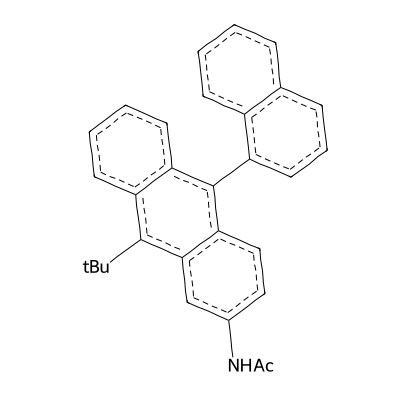 CC(=O)Nc1ccc2c(-c3cccc4ccccc34)c3ccccc3c(C(C)(C)C)c2c1